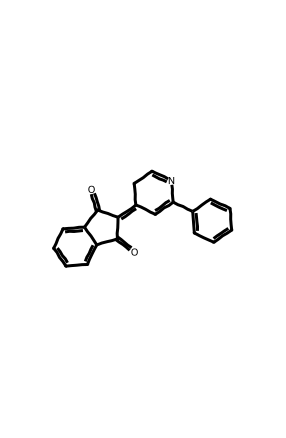 O=C1C(=C2C=C(c3ccccc3)N=CC2)C(=O)c2ccccc21